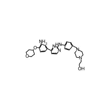 Nc1cc(-c2ccnc(Nc3ccc(CN4CCN(CCO)CC4)cc3)n2)ccc1OC1CCOCC1